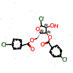 O=C(OC[C@@H]1OC(Cl)[C@@H](O)[C@H]1OC(=O)c1ccc(Cl)cc1)c1ccc(Cl)cc1